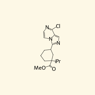 COC(=O)C1(C(C)C)CCCC(c2ncc3c(Cl)nccn23)C1